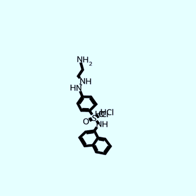 Cl.Cl.NCCNNc1ccc(S(=O)(=O)Nc2cccc3ccccc23)cc1